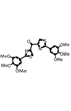 COc1cc(-c2nc(C(=O)c3csc(-c4cc(OC)c(OC)c(OC)c4)n3)cs2)cc(OC)c1OC